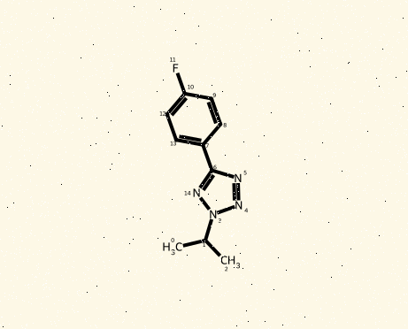 CC(C)n1nnc(-c2ccc(F)cc2)n1